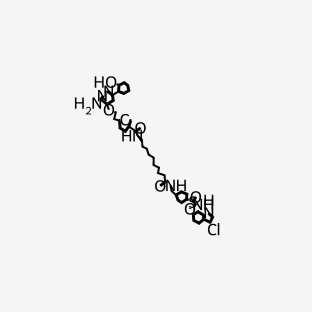 Nc1nnc(-c2ccccc2O)cc1OCCc1ccc(C(=O)NCCCCCCCCCC(=O)NCc2ccc(S(=O)(=O)Nc3cccc4c(Cl)c[nH]c34)cc2)cc1